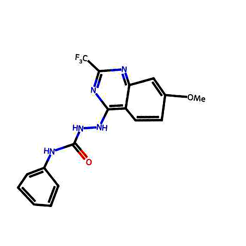 COc1ccc2c(NNC(=O)Nc3ccccc3)nc(C(F)(F)F)nc2c1